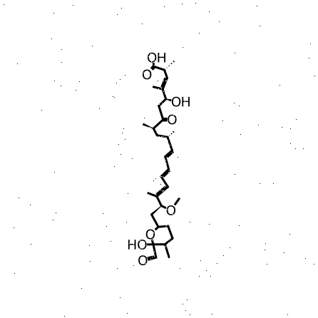 CO[C@@H](CC1CCC(C)C(O)(C=O)O1)/C(C)=C/C=C/C=C/[C@@H](C)C[C@@H](C)C(=O)C[C@H](O)/C(C)=C/[C@@H](C)C(=O)O